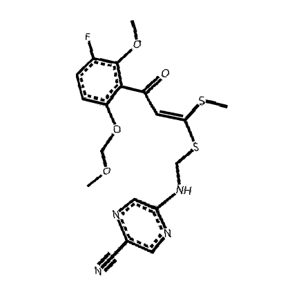 COCOc1ccc(F)c(OC)c1C(=O)/C=C(\SC)SCNc1cnc(C#N)cn1